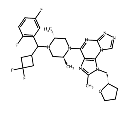 Cc1nc2c(N3C[C@@H](C)N(C(c4cc(F)ccc4F)C4CC(F)(F)C4)C[C@@H]3C)nc3nncn3c2n1C[C@@H]1CCCO1